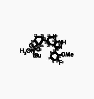 COc1c(F)cccc1-c1n[nH]c2ncc(-c3cccc(S(=O)(=O)N(C)C(C)(C)C)c3)cc12